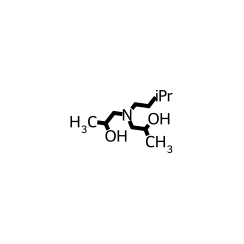 CC(C)CCN(CC(C)O)CC(C)O